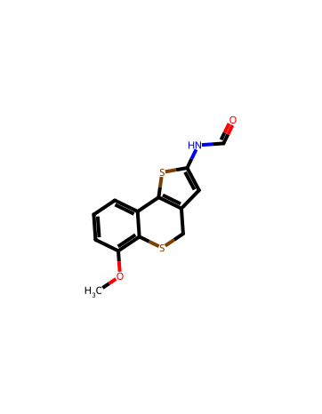 COc1cccc2c1SCc1cc(NC=O)sc1-2